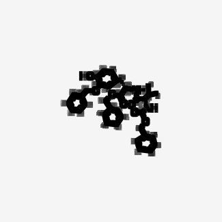 CC(C)[C@H](NC(=O)OCc1ccccc1)C(=O)N[C@@H](Cc1ccc(O)c(OCc2ccccc2)c1)C(=O)OCc1ccccc1